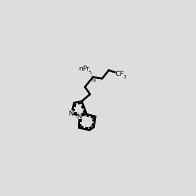 CCC[C@@H](CCc1cnn2ccccc12)CCC(F)(F)F